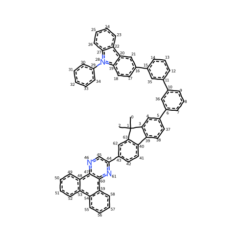 CC1(C)c2cc(-c3cccc(-c4cccc(-c5ccc6c(c5)c5ccccc5n6-c5ccccc5)c4)c3)ccc2-c2ccc(-c3cnc4c5ccccc5c5ccccc5c4n3)cc21